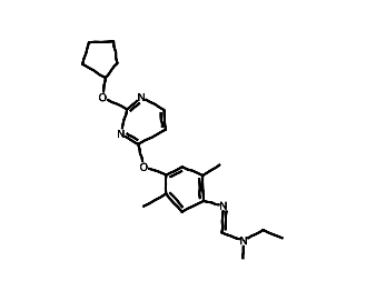 CCN(C)C=Nc1cc(C)c(Oc2ccnc(OC3CCCC3)n2)cc1C